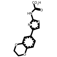 O=C(O)C(=O)Nc1nc(-c2ccc3c(c2)OCCO3)cs1